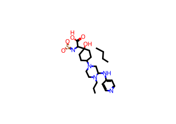 CCCC.CCCN1CCN(C2CCC(O)(C(N=S(=O)=O)C(=O)O)CC2)CC1Nc1ccncc1